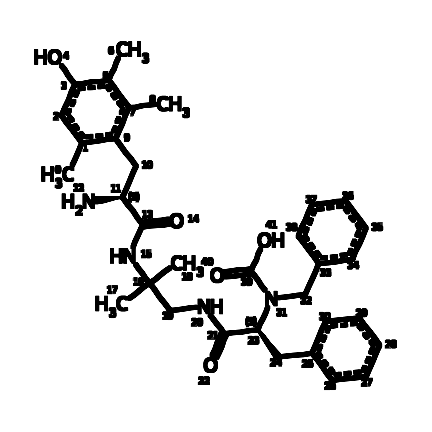 Cc1cc(O)c(C)c(C)c1C[C@H](N)C(=O)NC(C)(C)CNC(=O)[C@H](Cc1ccccc1)N(Cc1ccccc1)C(=O)O